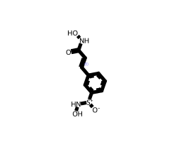 O=C(/C=C/c1cccc([S+]([O-])NO)c1)NO